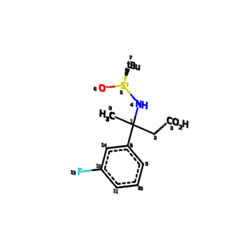 CC(CC(=O)O)(N[S@@+]([O-])C(C)(C)C)c1cccc(F)c1